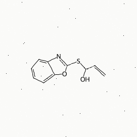 C=C[C](O)Sc1nc2ccccc2o1